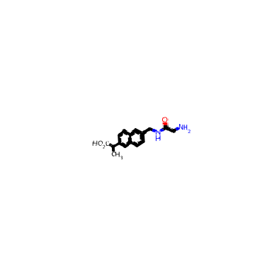 CC(C(=O)O)c1ccc2cc(CNC(=O)CN)ccc2c1